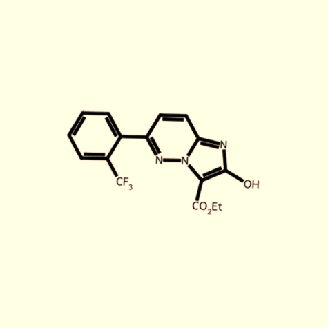 CCOC(=O)c1c(O)nc2ccc(-c3ccccc3C(F)(F)F)nn12